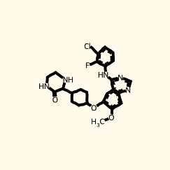 COc1cc2ncnc(Nc3cccc(Cl)c3F)c2cc1OC1CCC(C2NCCNC2=O)CC1